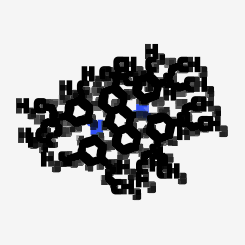 CC[SiH2]c1cc([SiH3])cc(N(c2cc(C)cc([Si](CC)(CC)CC)c2)c2c3ccccc3c(N(c3cc([SiH](CC)CC)cc([SiH](CC)CC)c3)c3ccc(C)c([SiH](CC)CC)c3)c3cc(C(C)(C)C)ccc23)c1